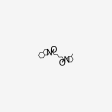 CC1CCCN(C(=O)CCCCC(=O)N2CCC3CCCCC3C2)C1